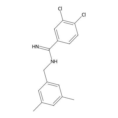 Cc1cc(C)cc(CNC(=N)c2ccc(Cl)c(Cl)c2)c1